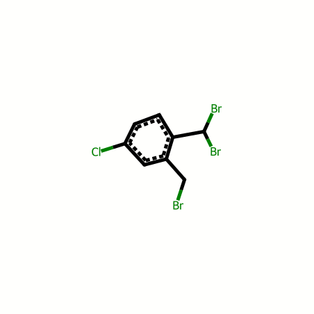 Clc1ccc(C(Br)Br)c(CBr)c1